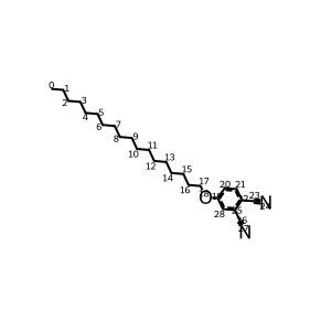 CCCCCCCCCCCCCCCCCCOc1ccc(C#N)c(C#N)c1